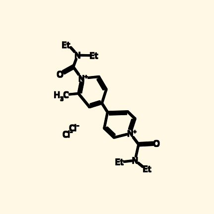 CCN(CC)C(=O)[n+]1ccc(-c2cc[n+](C(=O)N(CC)CC)c(C)c2)cc1.[Cl-].[Cl-]